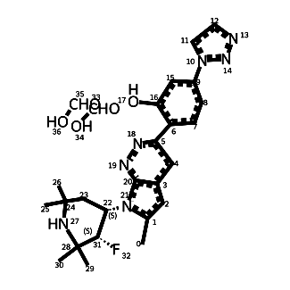 Cc1cc2cc(-c3ccc(-n4ccnn4)cc3O)nnc2n1[C@H]1CC(C)(C)NC(C)(C)[C@H]1F.O=CO.O=CO